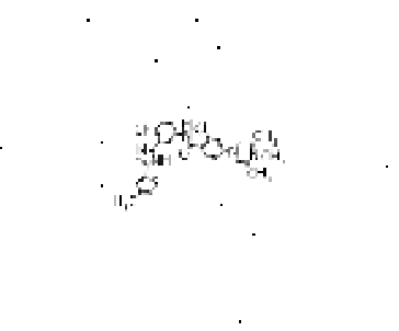 Cc1csc(-c2cnc(-c3cc(NC(=O)c4ccc(N5C[C@@H](C)N(C)[C@@H](C)C5)cc4Cl)ccc3Cl)[nH]2)c1